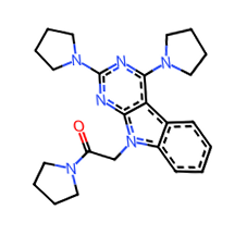 O=C(Cn1c2ccccc2c2c(N3CCCC3)nc(N3CCCC3)nc21)N1CCCC1